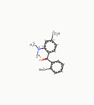 COc1ccccc1C(=O)c1ccc(C(=O)O)cc1N(C)C